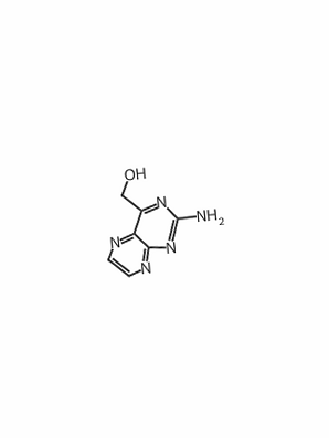 Nc1nc(CO)c2nccnc2n1